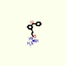 N=C(N)NC(=O)C=Cc1cccc(C(=O)c2ccccc2)c1